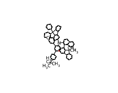 CC(C)(C)c1ccc(-c2ccc(N(c3ccc4c(c3)-c3ccccc3C4(c3ccccc3)c3ccccc3)c3ccc4ccccc4c3-c3cccc4c3C(C)(C)c3ccccc3-4)c(-c3ccccc3)c2)cc1